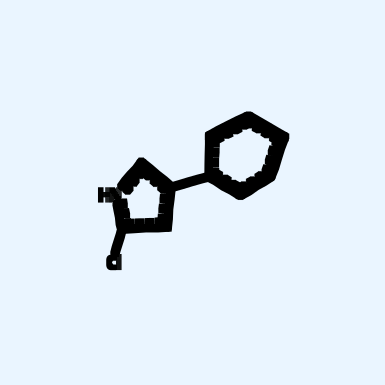 Clc1cc(-c2ccccc2)c[nH]1